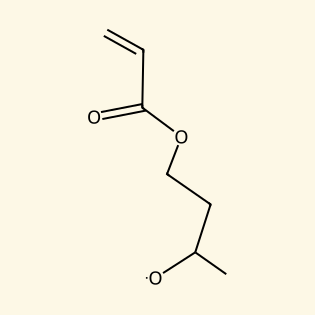 C=CC(=O)OCCC(C)[O]